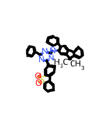 CC1(C)c2ccccc2-c2cc3c4ccccc4n(-c4nc(-c5ccccc5)nc(-c5ccc6c(c5)S(=O)(=O)c5ccccc5-6)n4)c3cc21